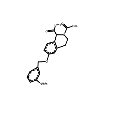 COC(=O)C1c2ccc(OCc3cccc(NC(C)=O)c3)cc2CCN1C(=O)OCC(C)C